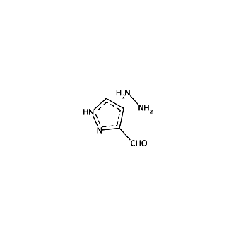 NN.O=Cc1cc[nH]n1